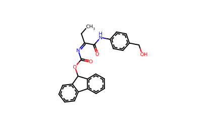 CCC(=NC(=O)OC1c2ccccc2-c2ccccc21)C(=O)Nc1ccc(CO)cc1